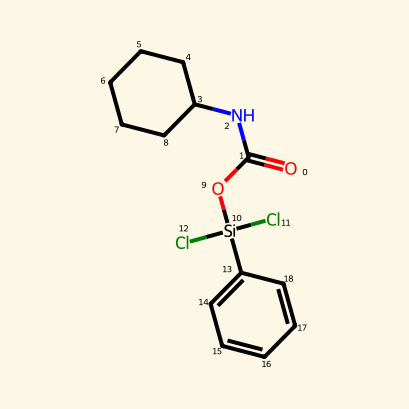 O=C(NC1CCCCC1)O[Si](Cl)(Cl)c1ccccc1